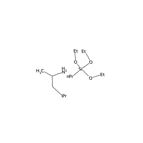 CC(C)CC(C)N.CCC[Si](OCC)(OCC)OCC